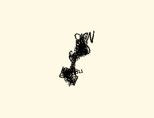 Cc1ncoc1-c1ccc(CNC(=O)[C@@H]2COCN2C(=O)[C@@H](NC(=O)COCCCCOc2ccc(-c3ccc(N4C(=S)N(c5ccc(C#N)c(Cl)c5)C(=O)C4(C)C)c(F)c3)cc2)C(C)(C)C)cc1